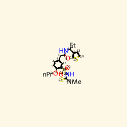 CCCOc1ccc(CC(=O)NC(CC)c2ccsc2)cc1S(=O)(=O)NC(=S)NC